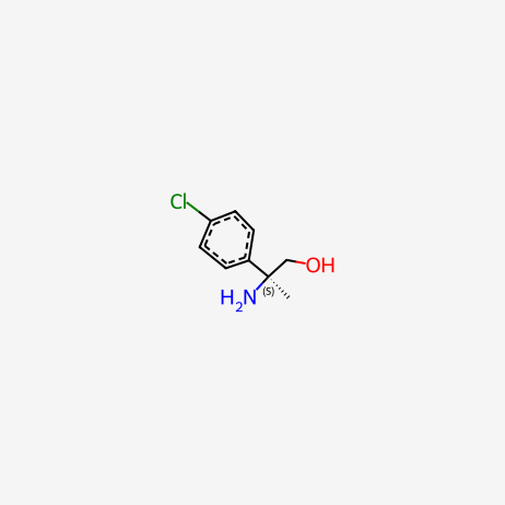 C[C@@](N)(CO)c1ccc(Cl)cc1